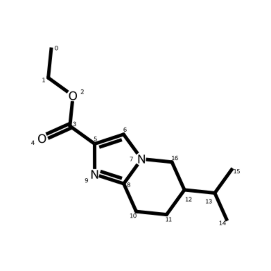 CCOC(=O)c1cn2c(n1)CCC(C(C)C)C2